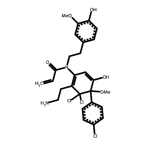 C=CC(=O)N(CCc1ccc(O)c(OC)c1)C1=C(CCN)C(Cl)(Cl)C(OC)(c2ccc(Cl)cc2)C(O)=C1